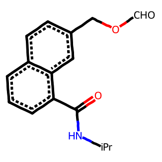 CC(C)NC(=O)c1cccc2ccc(COC=O)cc12